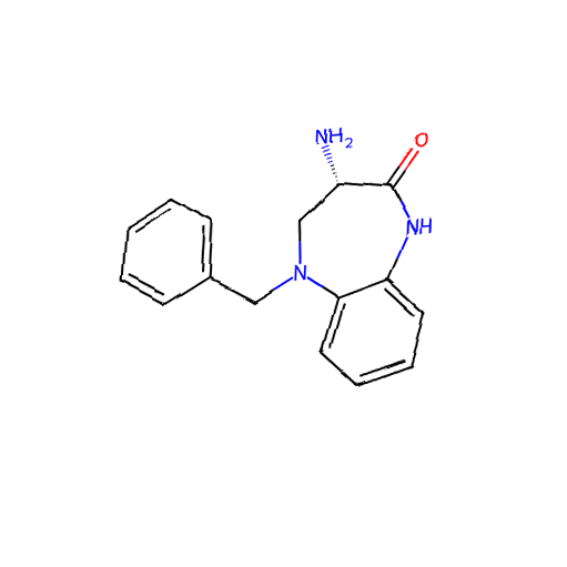 N[C@H]1CN(Cc2ccccc2)c2ccccc2NC1=O